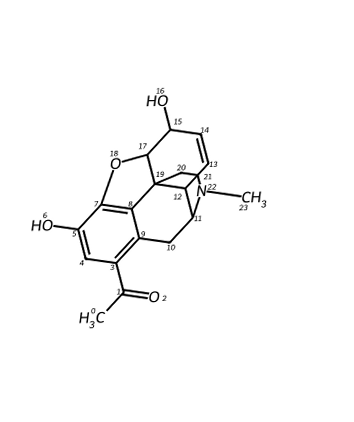 CC(=O)c1cc(O)c2c3c1CC1C4C=CC(O)C(O2)C34CCN1C